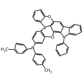 Cc1ccc(N(c2ccc(C)cc2)c2ccc3c(c2)Oc2c4c(cc5c6ccccc6n(-c6ccccc6)c25)Oc2ccccc2B34)cc1